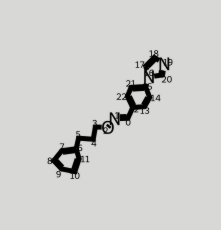 C(=NOCCCc1ccccc1)c1ccc(-n2ccnc2)cc1